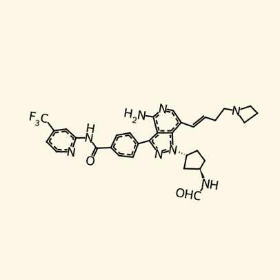 Nc1ncc(/C=C/CCN2CCC2)c2c1c(-c1ccc(C(=O)Nc3cc(C(F)(F)F)ccn3)cc1)nn2[C@@H]1CC[C@@H](NC=O)C1